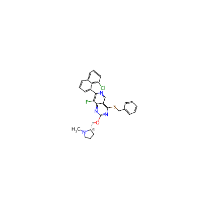 CN1CCC[C@H]1COc1nc(SCc2ccccc2)c2cnc(-c3cccc4cccc(Cl)c34)c(F)c2n1